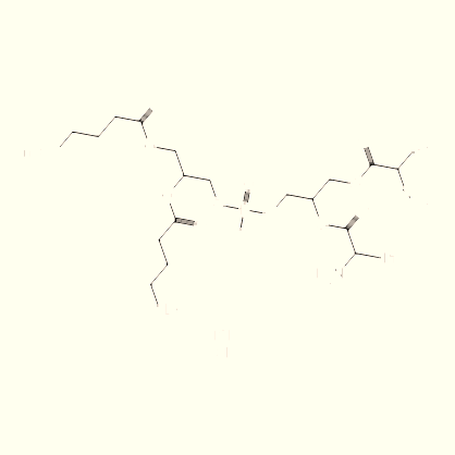 CCCCCCCCCCCCCC(=O)OCC(COP(=O)(O)OCC(COC(=O)C(N)C(C)C)OC(=O)C(N)C(C)C)OC(=O)CCCCCCCCCCCCC.Cl.Cl